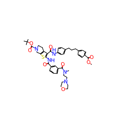 COC(=O)c1ccc(CCCc2ccc(NC(=O)c3c(NC(=O)c4cccc(C(=O)N(C)CCN5CCOCC5)c4)sc4c3CCN(C(=O)OC(C)(C)C)C4)cc2)cc1